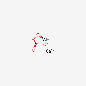 O=C([O-])[O-].[Ca+2].[O]=[AlH]